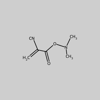 [C-]#[N+]C(=C)C(=O)ON(C)C